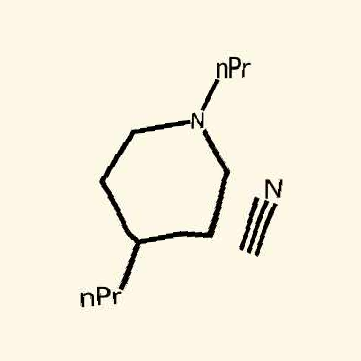 C#N.CCCC1CCN(CCC)CC1